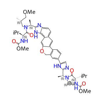 CC[C@H](C)N(C(=O)[C@@H](NC(=O)OC)C(C)C)[C@@H](C)c1ncc(-c2ccc3c(c2)COc2cc4c(ccc5nc([C@H](C)N(C[C@H](C)COC)C(=O)[C@@H](NC(=O)OC)C(C)C)[nH]c54)cc2-3)[nH]1